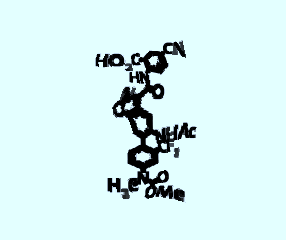 COC(=O)N(C)c1ccc(-c2cc3onc(C(=O)Nc4ccc(C#N)cc4C(=O)O)c3cc2NC(C)=O)c(C(F)(F)F)c1